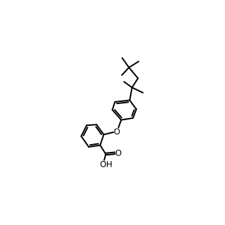 CC(C)(C)CC(C)(C)c1ccc(Oc2ccccc2C(=O)O)cc1